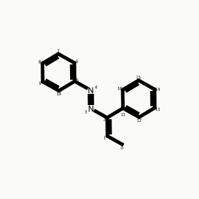 CC=C(N=Nc1ccccc1)c1ccccc1